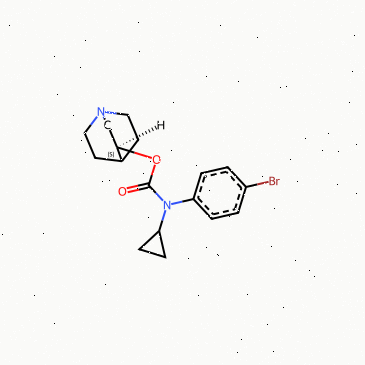 O=C(O[C@@H]1CN2CCC1CC2)N(c1ccc(Br)cc1)C1CC1